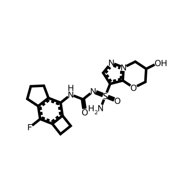 NS(=O)(=NC(=O)Nc1c2c(c(F)c3c1CC3)CCC2)c1cnn2c1OCC(O)C2